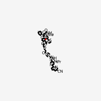 CN[C@](C)(C(N)=O)[C@@H](C(=O)N1CCC(C2SC=CN2C(=O)c2ccccc2OCCOCCC(=O)N2CCN(c3nnc(-c4cnc(-c5ccc6cc(C#N)cnn56)cc4NC(C)C)s3)CC2)C1)C1CCCCC1